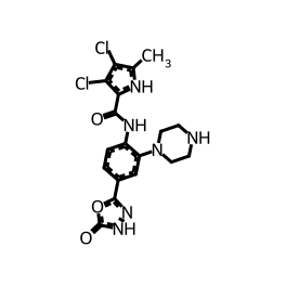 Cc1[nH]c(C(=O)Nc2ccc(-c3n[nH]c(=O)o3)cc2N2CCNCC2)c(Cl)c1Cl